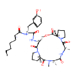 CCCC/C=C/C(=O)N[C@@H](Cc1cccc(O)c1)C(=O)N[C@H]1COC(=O)[C@@H]2CCCN2C(=O)[C@H](C)NC(=O)[C@H](C)N(C)C(=O)[C@@H]2CCCN2C1=O